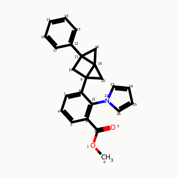 COC(=O)c1cccc(C23CC4(c5ccccc5)CC42C3)c1-n1cccc1